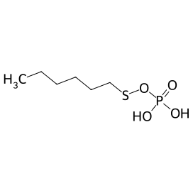 CCCCCCSOP(=O)(O)O